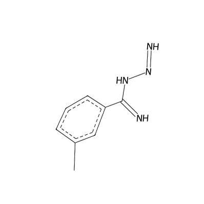 Cc1cccc(C(=N)NN=N)c1